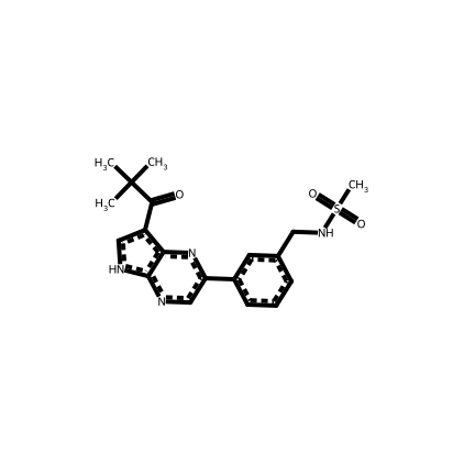 CC(C)(C)C(=O)c1c[nH]c2ncc(-c3cccc(CNS(C)(=O)=O)c3)nc12